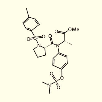 COC(=O)[C@H](C)N(C(=O)[C@@H]1CCCN1S(=O)(=O)c1ccc(C)cc1)c1ccc(OS(=O)(=O)N(C)C)cc1